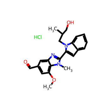 COc1cc(C=O)cc2nc(-c3cc4ccccc4n3CC(C)CO)n(C)c12.Cl